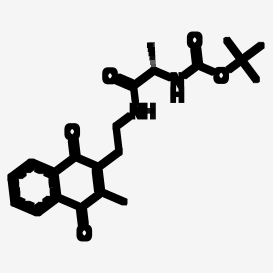 CC1=C(CCNC(=O)[C@H](C)NC(=O)OC(C)(C)C)C(=O)c2ccccc2C1=O